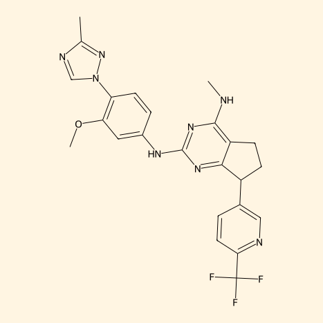 CNc1nc(Nc2ccc(-n3cnc(C)n3)c(OC)c2)nc2c1CCC2c1ccc(C(F)(F)F)nc1